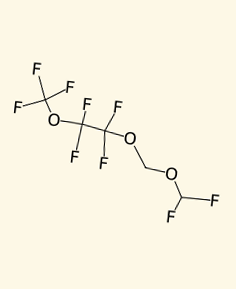 FC(F)OCOC(F)(F)C(F)(F)OC(F)(F)F